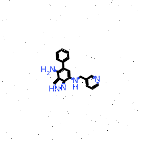 Nc1c(-c2ccccc2)cc(NCc2cccnc2)c2n[nH]cc12